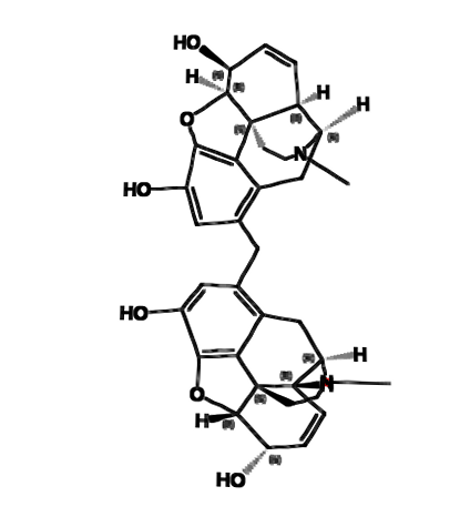 CN1CC[C@]23c4c5c(Cc6cc(O)c7c8c6C[C@@H]6[C@@H]9C=C[C@H](O)[C@H](O7)[C@]89CCN6C)cc(O)c4O[C@H]2[C@@H](O)C=C[C@H]3[C@H]1C5